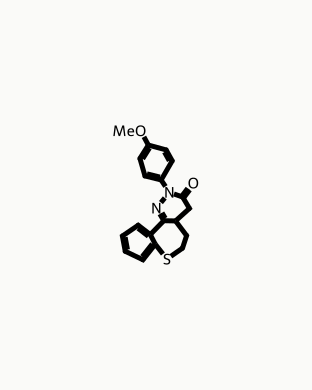 COc1ccc(N2N=C3c4ccccc4SCCC3CC2=O)cc1